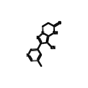 Cc1cncc(-c2nn3c(c2C#N)NC(=O)CC3)c1